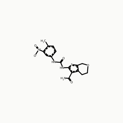 Cc1ccc(NC(=O)Nc2sc3c(c2C(N)=O)CCOC3)cc1[N+](=O)[O-]